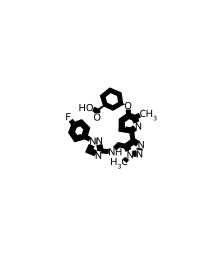 Cc1nc(-c2nnn(C)c2CNc2ncn(-c3ccc(F)cc3)n2)ccc1O[C@H]1CCC[C@H](C(=O)O)C1